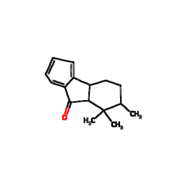 CC1CCC2c3ccccc3C(=O)C2C1(C)C